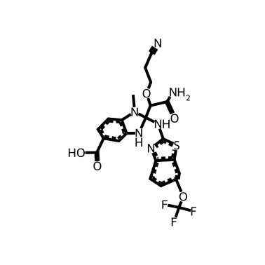 CN1c2ccc(C(=O)O)cc2NC1(Nc1nc2ccc(OC(F)(F)F)cc2s1)C(OCCC#N)C(N)=O